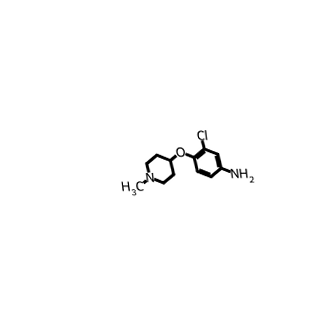 CN1CCC(Oc2ccc(N)cc2Cl)CC1